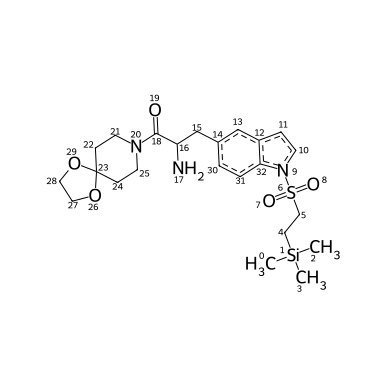 C[Si](C)(C)CCS(=O)(=O)n1ccc2cc(CC(N)C(=O)N3CCC4(CC3)OCCO4)ccc21